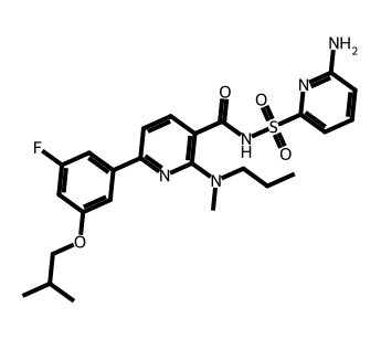 CCCN(C)c1nc(-c2cc(F)cc(OCC(C)C)c2)ccc1C(=O)NS(=O)(=O)c1cccc(N)n1